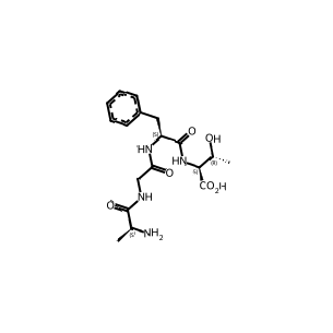 C[C@H](N)C(=O)NCC(=O)N[C@@H](Cc1ccccc1)C(=O)N[C@H](C(=O)O)[C@@H](C)O